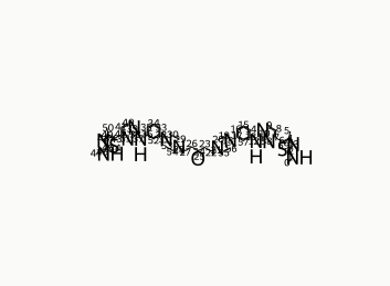 CNc1nc(C)c(-c2ccnc(Nc3cccc(N4CCN(CCC(=O)CCN5CCN(c6cccc(Nc7nccc(-c8sc(NC)nc8C)n7)c6)CC5)CC4)c3)n2)s1